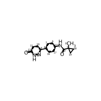 CC1(C(=O)Nc2ccc(-c3ccc(=O)[nH]n3)cc2)CC1